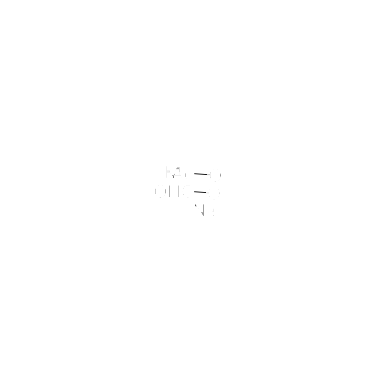 CC(=O)[O-].O=C[O-].[K+].[Na+]